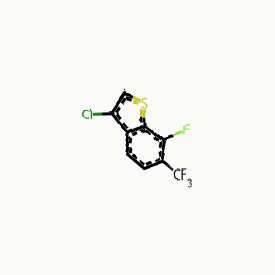 Fc1c(C(F)(F)F)ccc2c(Cl)[c]sc12